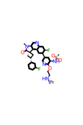 CC(C)NCCOc1ncc(-c2cc3c(cc2F)ncc2c3[C@]3(C[C@@H](c4cccc(F)c4)C3)C(=O)N2C)cc1NS(C)(=O)=O